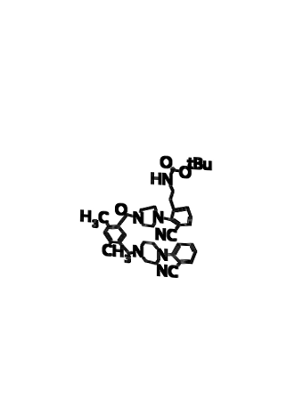 Cc1cc(C)c(C(=O)N2CCN(c3c(C#N)cccc3CCNC(=O)OC(C)(C)C)CC2)cc1CN1CCN(c2ccccc2C#N)CC1